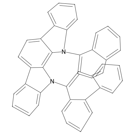 c1ccc2c(-n3c4ccccc4c4ccc5c6ccccc6n(-c6cc7ccccc7c7ccccc67)c5c43)cccc2c1